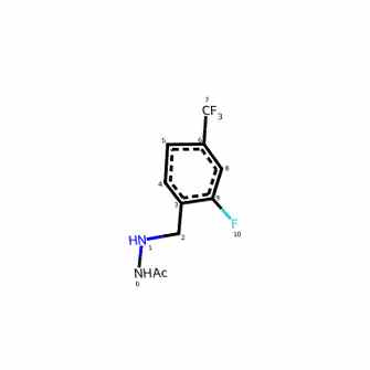 CC(=O)NNCc1ccc(C(F)(F)F)cc1F